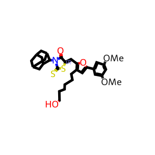 COc1cc(OC)cc(-c2cc(CCCCCCO)c(/C=C3\SC(=S)N(C4C5CC6CC(C5)CC4C6)C3=O)o2)c1